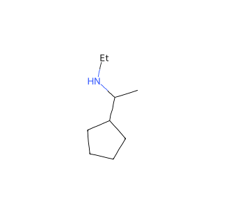 CCNC(C)C1CCCC1